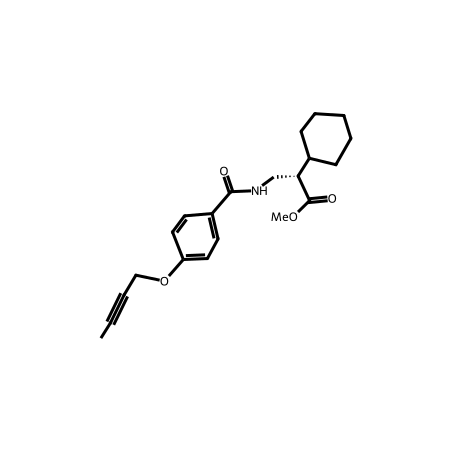 CC#CCOc1ccc(C(=O)NC[C@@H](C(=O)OC)C2CCCCC2)cc1